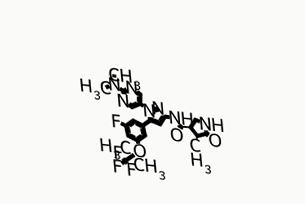 C[C@H]1C(=O)NC[C@@H]1C(=O)Nc1cc(-c2cc(F)cc(OC(C)(C)C(F)(F)F)c2)n(-c2cnc(N(C)C)nc2)n1